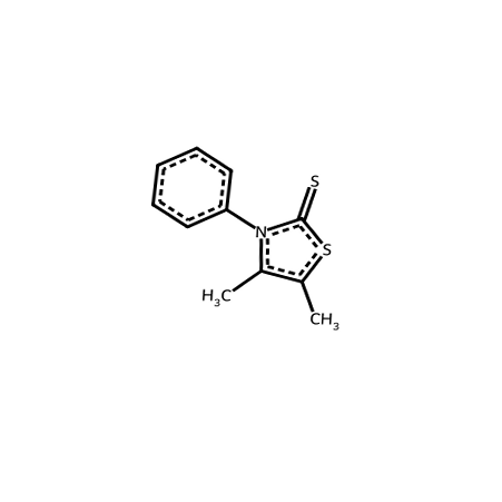 Cc1sc(=S)n(-c2ccccc2)c1C